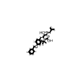 CC(C)CNC[C@@H](O)[C@H](Cc1ccc(OCc2ccccc2)cc1)N(C(=O)O)C(C)(C)C